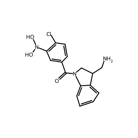 NCC1CN(C(=O)c2ccc(Cl)c(N(O)O)c2)c2ccccc21